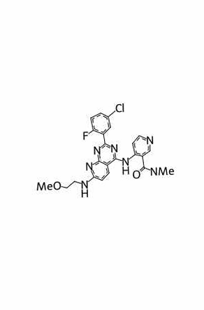 CNC(=O)c1cnccc1Nc1nc(-c2cc(Cl)ccc2F)nc2nc(NCCOC)ccc12